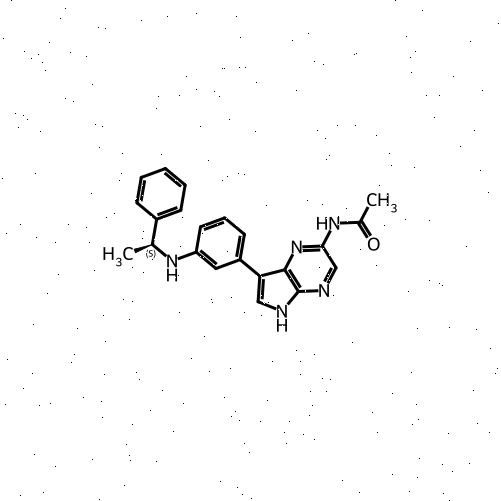 CC(=O)Nc1cnc2[nH]cc(-c3cccc(N[C@@H](C)c4ccccc4)c3)c2n1